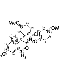 CON1CCC(ON(C(=O)Cc2c(C)cc(C)cc2C)C2(C)CCN(OC)CC2)CC1